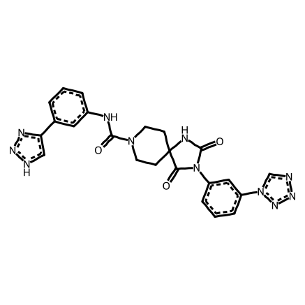 O=C(Nc1cccc(-c2c[nH]nn2)c1)N1CCC2(CC1)NC(=O)N(c1cccc(-n3cnnn3)c1)C2=O